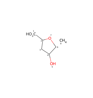 C.O=C(O)C1CC(O)CO1